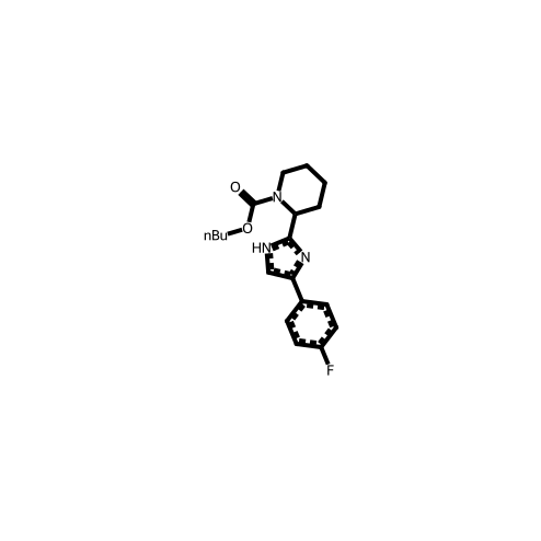 CCCCOC(=O)N1CCCCC1c1nc(-c2ccc(F)cc2)c[nH]1